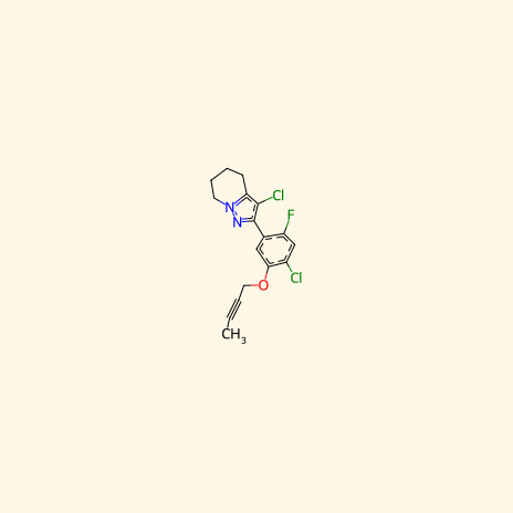 CC#CCOc1cc(-c2nn3c(c2Cl)CCCC3)c(F)cc1Cl